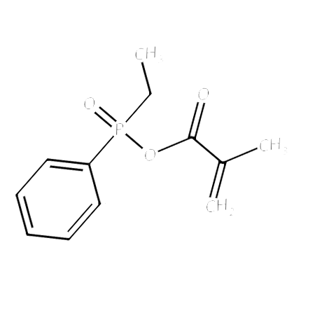 C=C(C)C(=O)OP(=O)(CC)c1[c]cccc1